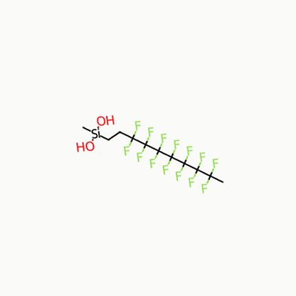 CC(F)(F)C(F)(F)C(F)(F)C(F)(F)C(F)(F)C(F)(F)C(F)(F)CC[Si](C)(O)O